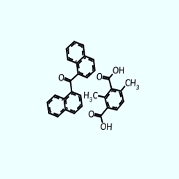 Cc1ccc(C(=O)O)c(C)c1C(=O)O.O=C(c1cccc2ccccc12)c1cccc2ccccc12